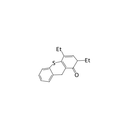 CCC1=CC(CC)C(=O)C2=C1Sc1ccccc1C2